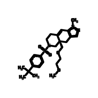 COCCOC[C@]12Cc3cnn(C)c3C=C1CCN(S(=O)(=O)c1ccc(C(C)(C)C)cc1)C2